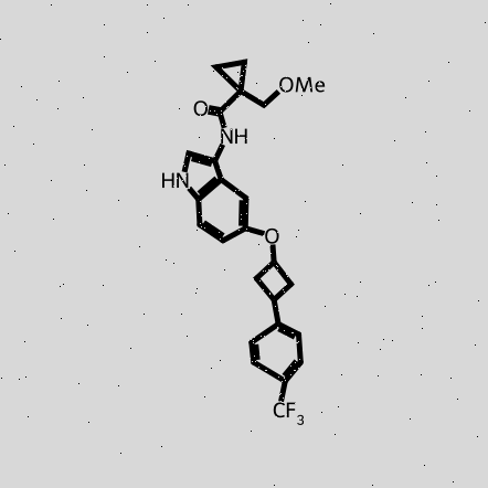 COCC1(C(=O)Nc2c[nH]c3ccc(OC4CC(c5ccc(C(F)(F)F)cc5)C4)cc23)CC1